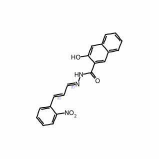 O=C(N/N=C/C=C/c1ccccc1[N+](=O)[O-])c1cc2ccccc2cc1O